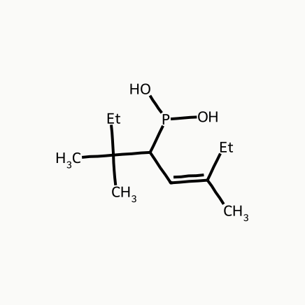 CC/C(C)=C\C(P(O)O)C(C)(C)CC